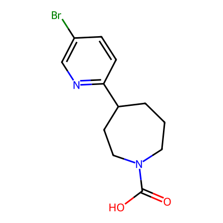 O=C(O)N1CCCC(c2ccc(Br)cn2)CC1